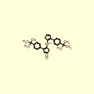 CC(C)(C)c1ccc(C2=[C]([Hf+2][C]3=C(c4ccc(C(C)(C)C)cc4)C=CC3)CC=C2)cc1.[Cl-].[Cl-]